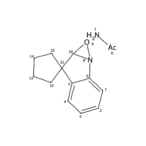 CC(N)=O.c1ccc2c(c1)N1OC1C21CCCC1